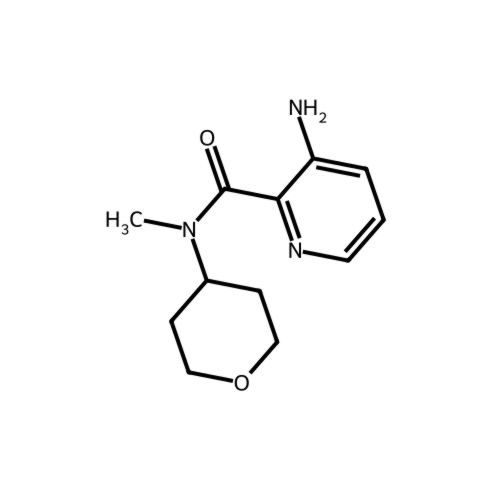 CN(C(=O)c1ncccc1N)C1CCOCC1